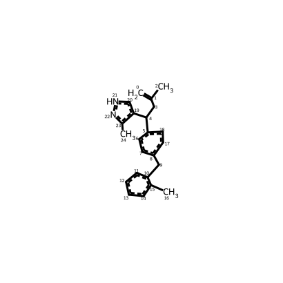 C=C(C)CC(c1ccc(Cc2ccccc2C)cc1)c1c[nH]nc1C